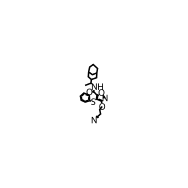 CC(NC(=O)c1onc(OCCC#N)c1Sc1ccccc1)C1CC2CCCC(C2)C1